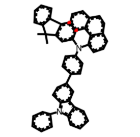 CC1(C)c2ccccc2-c2ccc(N(c3ccc(-c4ccc5c(c4)c4ccccc4n5-c4ccccc4)cc3)c3cccc4ccc5ccccc5c34)cc21